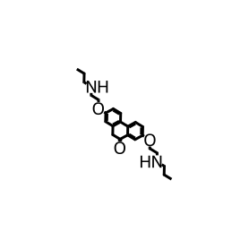 CCCNCCOc1ccc2c(c1)CC(=O)c1cc(OCCNCCC)ccc1-2